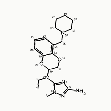 CCN(c1nc(N)nn1C)C1COc2c(CN3CCCCC3)cccc2O1